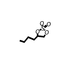 CCCCC1COS(=O)(=O)O1